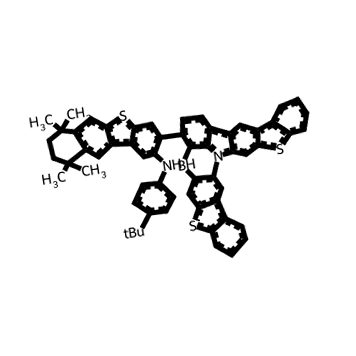 CC(C)(C)c1ccc(Nc2cc3c(cc2-c2ccc4c5cc6c(cc5n5c4c2Bc2cc4sc7ccccc7c4cc2-5)sc2ccccc26)sc2cc4c(cc23)C(C)(C)CCC4(C)C)cc1